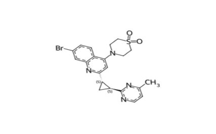 Cc1ccnc([C@H]2C[C@@H]2c2cc(N3CCS(=O)(=O)CC3)c3ccc(Br)cc3n2)n1